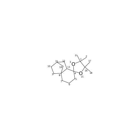 CC1(C)OC2(CCCC34CCC(CC32)C4)OC1(C)C